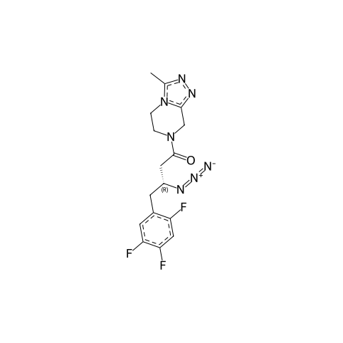 Cc1nnc2n1CCN(C(=O)C[C@@H](Cc1cc(F)c(F)cc1F)N=[N+]=[N-])C2